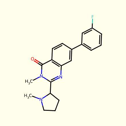 CN1CCCC1c1nc2cc(-c3cccc(F)c3)ccc2c(=O)n1C